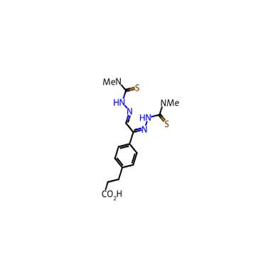 CNC(=S)N/N=C(\C=N\NC(=S)NC)c1ccc(CCC(=O)O)cc1